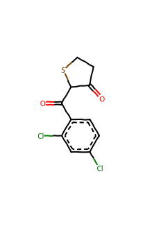 O=C1CCSC1C(=O)c1ccc(Cl)cc1Cl